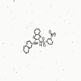 O=[N+]([O-])c1cccc(S(=O)(=O)Nc2nc3ccccc3nc2Nc2ccc3ccccc3c2)c1